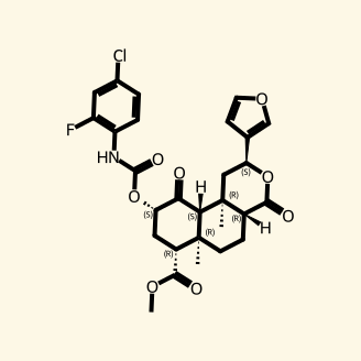 COC(=O)[C@@H]1C[C@H](OC(=O)Nc2ccc(Cl)cc2F)C(=O)[C@H]2[C@@]1(C)CC[C@H]1C(=O)O[C@H](c3ccoc3)C[C@]21C